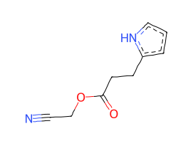 N#CCOC(=O)CCc1ccc[nH]1